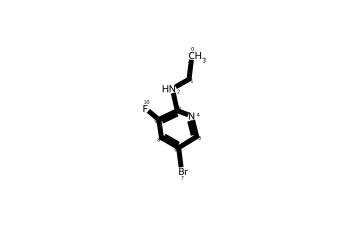 CCNc1ncc(Br)cc1F